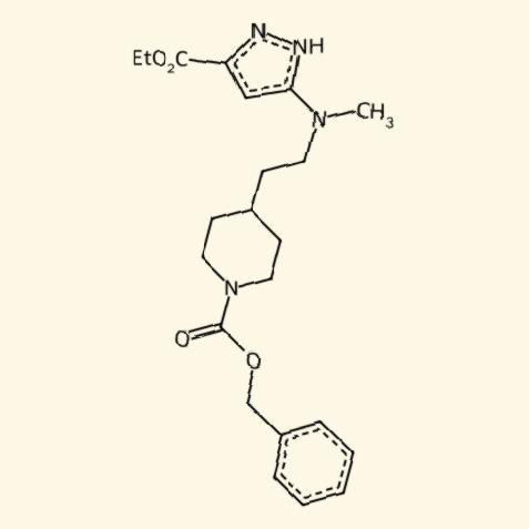 CCOC(=O)c1cc(N(C)CCC2CCN(C(=O)OCc3ccccc3)CC2)[nH]n1